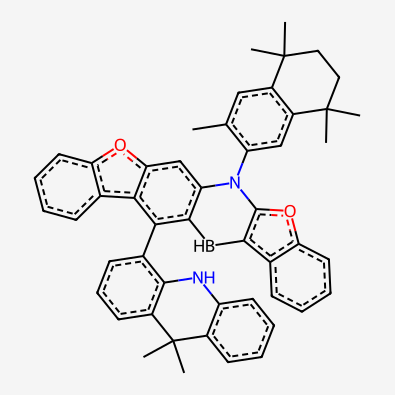 Cc1cc2c(cc1N1c3cc4oc5ccccc5c4c(-c4cccc5c4Nc4ccccc4C5(C)C)c3Bc3c1oc1ccccc31)C(C)(C)CCC2(C)C